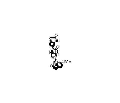 COc1ccc2ccc(=O)n(CCN3CC[C@@H]4CN(c5ccc6c(c5)NC(=O)CS6)C(=O)O[C@H]4C3)c2n1